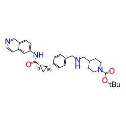 CC(C)(C)OC(=O)N1CCC(CNCc2ccc([C@@H]3C[C@H]3C(=O)Nc3ccc4cnccc4c3)cc2)CC1